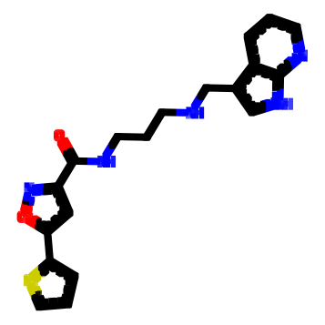 O=C(NCCCNCc1c[nH]c2ncccc12)c1cc(-c2cccs2)on1